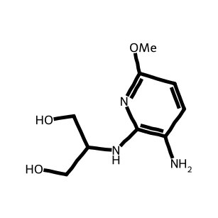 COc1ccc(N)c(NC(CO)CO)n1